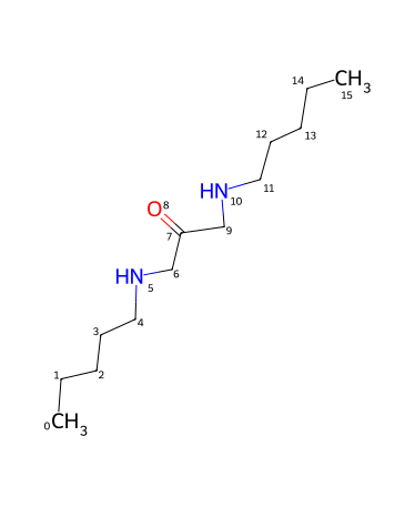 CCCCCNCC(=O)CNCCCCC